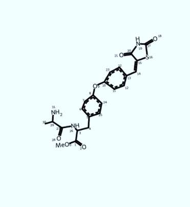 COC(=O)C(Cc1ccc(Oc2ccc(/C=C3/SC(=O)NC3=O)cc2)cc1)NC(=O)C(C)N